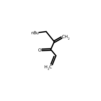 C=CC(=O)C(=C)CCCCC